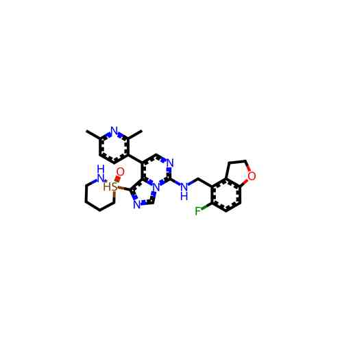 Cc1ccc(-c2cnc(NCc3c(F)ccc4c3CCO4)n3cnc([SH]4(=O)CCCCN4)c23)c(C)n1